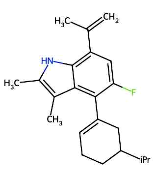 C=C(C)c1cc(F)c(C2=CCCC(C(C)C)C2)c2c(C)c(C)[nH]c12